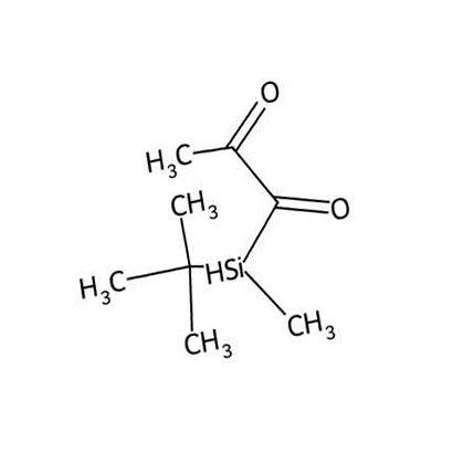 CC(=O)C(=O)[SiH](C)C(C)(C)C